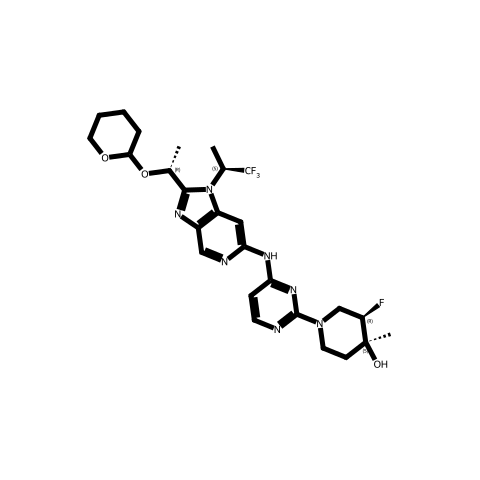 C[C@H](n1c([C@@H](C)OC2CCCCO2)nc2cnc(Nc3ccnc(N4CC[C@](C)(O)[C@H](F)C4)n3)cc21)C(F)(F)F